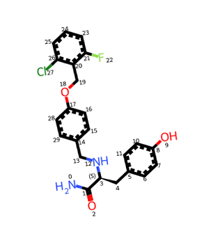 NC(=O)[C@H](Cc1ccc(O)cc1)NCc1ccc(OCc2c(F)cccc2Cl)cc1